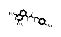 Cc1cc2c(NC(=O)NCc3ccc(C(C)(C)C)cc3)cccc2c(C)n1